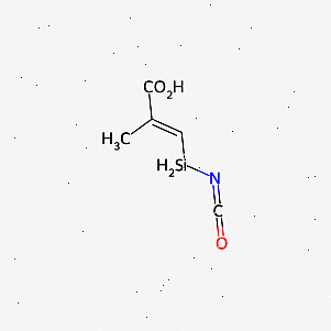 CC(=C[SiH2]N=C=O)C(=O)O